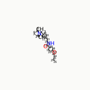 C[C@@H]1CCC[C@H](C)N1Cc1ccc(CCNC(=O)c2ccc(OCCC3CC3)cc2)cc1